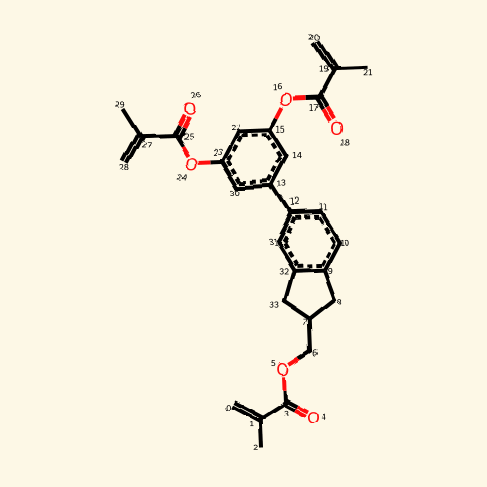 C=C(C)C(=O)OCC1Cc2ccc(-c3cc(OC(=O)C(=C)C)cc(OC(=O)C(=C)C)c3)cc2C1